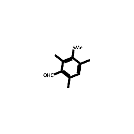 CSc1c(C)cc(C)c(C=O)c1C